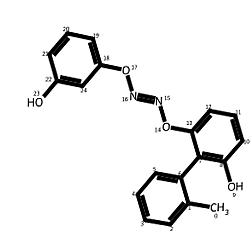 Cc1ccccc1-c1c(O)cccc1ON=NOc1cccc(O)c1